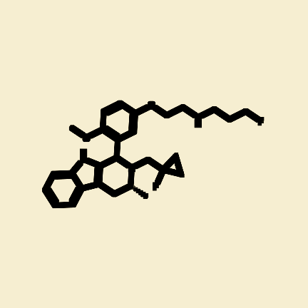 COc1ccc(OCCNCCCF)cc1C1c2[nH]c3ccccc3c2C[C@@H](C)N1CC1(F)CC1